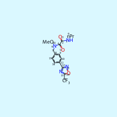 CCCNC(=O)C(=O)N(Cc1ccc(-c2noc(C(F)(F)F)n2)cc1)OC